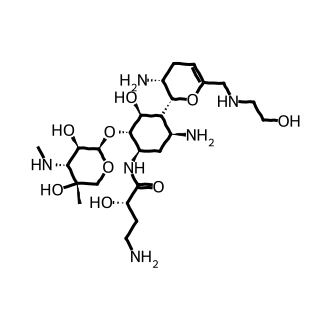 CN[C@@H]1[C@@H](O)[C@@H](O[C@H]2[C@H](NC(=O)[C@@H](O)CCN)C[C@H](N)C([C@H]3OC(CNCCO)=CC[C@H]3N)[C@@H]2O)OC[C@]1(C)O